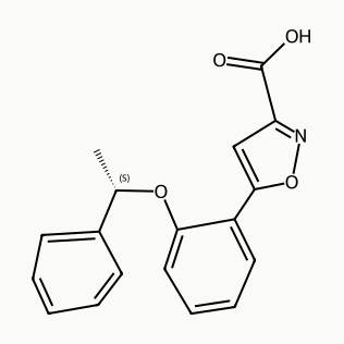 C[C@H](Oc1ccccc1-c1cc(C(=O)O)no1)c1ccccc1